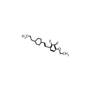 CCCC1CCC(/C=C/c2ccc(OCC)c(F)c2F)CC1